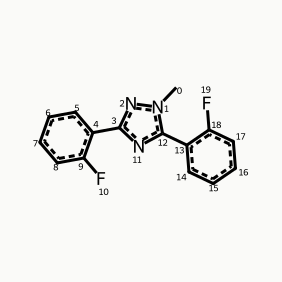 Cn1nc(-c2ccccc2F)nc1-c1ccccc1F